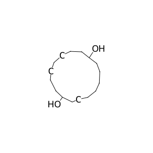 OC1CCCCCCCC(O)CCCCCCC1